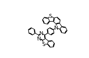 c1ccc(-c2nc(-c3ccc(-n4c5ccccc5c5ccc6sc7ccccc7c6c54)cc3)c3c(n2)sc2ccccc23)cc1